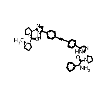 CN1CCC[C@@H]1C(=O)N1CCC[C@H]1c1ncc(-c2ccc(C#Cc3ccc(-c4cnc([C@@H]5CCCN5C(=O)[C@H](N)c5ccccc5)[nH]4)cc3)cc2)[nH]1